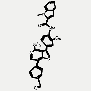 COc1cc(-c2csc3c(-c4ccc(C=O)cc4)cnc(N)c23)ccc1NC(=O)c1cc2ccccc2n1C